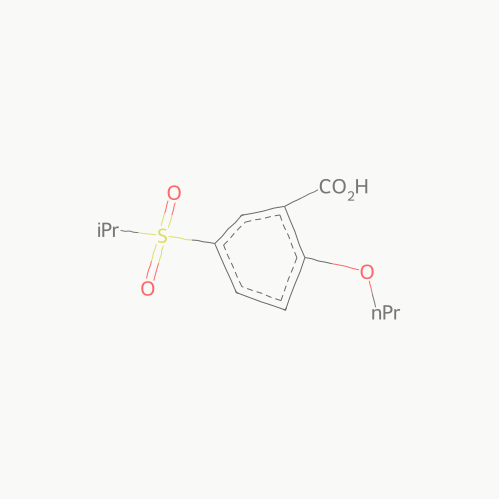 CCCOc1ccc(S(=O)(=O)C(C)C)cc1C(=O)O